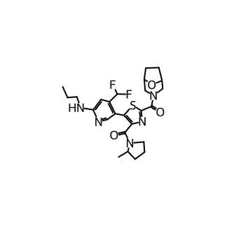 CCCNc1cc(C(F)F)c(-c2sc(C(=O)N3CC4CCC(C3)O4)nc2C(=O)N2CCCC2C)cn1